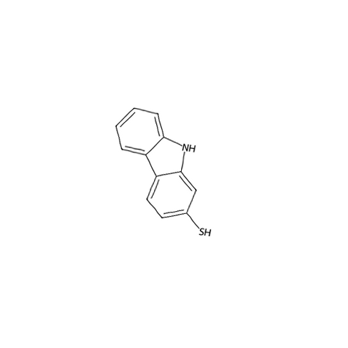 Sc1ccc2c(c1)[nH]c1ccccc12